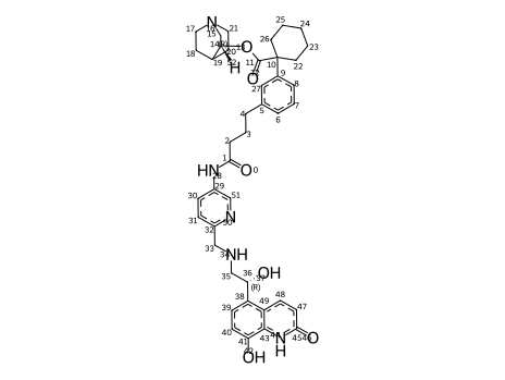 O=C(CCCc1cccc(C2(C(=O)O[C@H]3CN4CCC3CC4)CCCCC2)c1)Nc1ccc(CNC[C@H](O)c2ccc(O)c3[nH]c(=O)ccc23)nc1